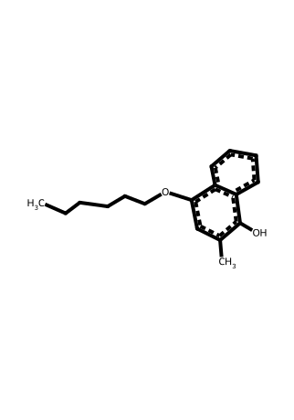 CCCCCCOc1cc(C)c(O)c2ccccc12